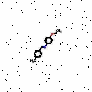 CCOc1ccc(N=Cc2ccc(C)cc2)cc1